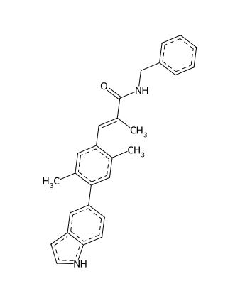 C/C(=C\c1cc(C)c(-c2ccc3[nH]ccc3c2)cc1C)C(=O)NCc1ccccc1